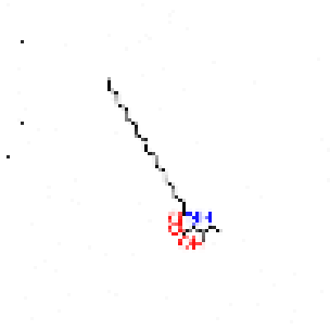 CCCCCCCC/C=C/CCCCCCCC(=O)N[C@H](C(=O)O)C(C)CC